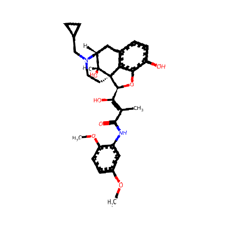 COc1ccc(OC)c(NC(=O)/C(C)=C(\O)[C@@H]2Oc3c(O)ccc4c3[C@@]23CCN(CC2CC2)[C@H](C4)[C@@]3(C)O)c1